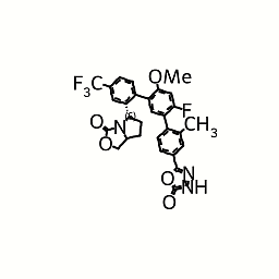 COc1cc(F)c(-c2ccc(-c3n[nH]c(=O)o3)cc2C)cc1-c1ccc(C(F)(F)F)cc1[C@@H]1CCC2COC(=O)N21